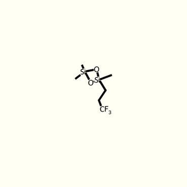 C[Si]1(C)O[Si](C)(CCC(F)(F)F)O1